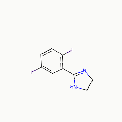 Ic1ccc(I)c(C2=NCCN2)c1